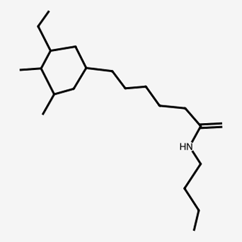 C=C(CCCCCC1CC(C)C(C)C(CC)C1)NCCCC